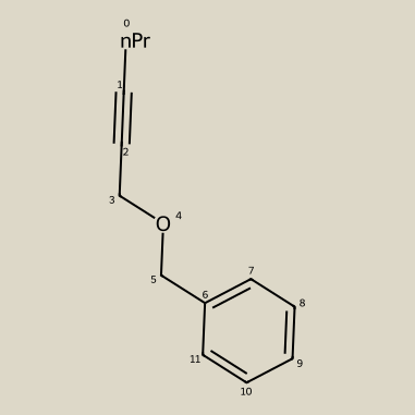 CCCC#CCOCc1ccccc1